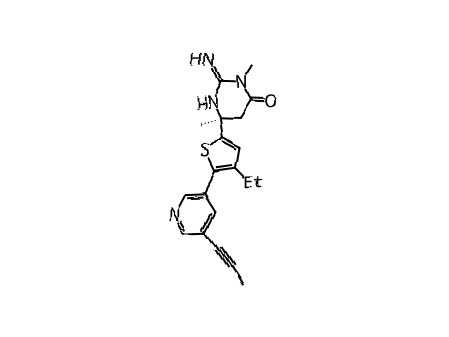 CC#Cc1cncc(-c2sc([C@]3(C)CC(=O)N(C)C(=N)N3)cc2CC)c1